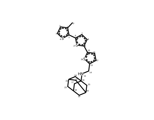 Cc1ccsc1-c1ccc(-c2ccc(CNC34CC5CC(CC(C5)C3)C4)s2)s1